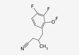 CC(CC#N)Cc1ccc(F)c(F)c1OF